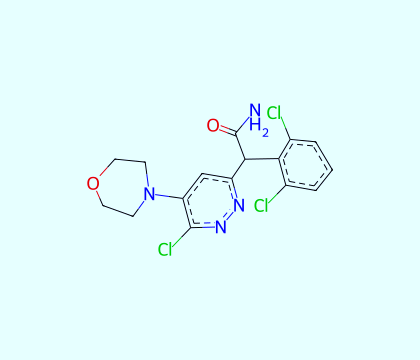 NC(=O)C(c1cc(N2CCOCC2)c(Cl)nn1)c1c(Cl)cccc1Cl